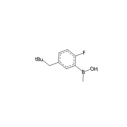 CB(O)c1cc(CC(C)(C)C)ccc1F